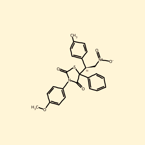 COc1ccc(N2C(=O)SC(c3ccccc3)([C@H](C[N+](=O)[O-])c3ccc(C)cc3)C2=O)cc1